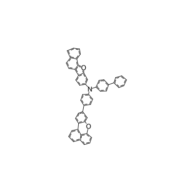 c1ccc(-c2ccc(N(c3ccc(-c4ccc5c(c4)Oc4cccc6cccc-5c46)cc3)c3ccc4c(c3)oc3c5ccccc5ccc43)cc2)cc1